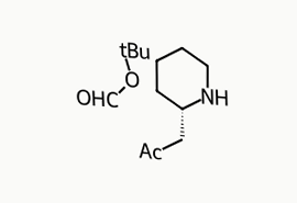 CC(=O)C[C@@H]1CCCCN1.CC(C)(C)OC=O